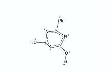 CCOc1cc(O)nc(C(C)(C)C)n1